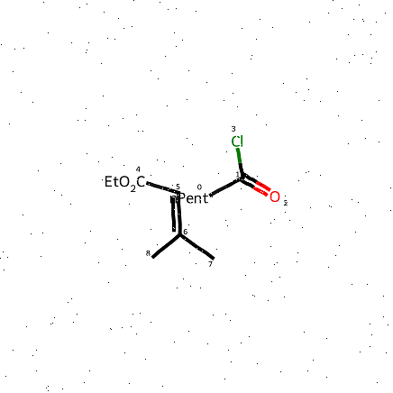 CCCCCC(=O)Cl.CCOC(=O)C=C(C)C